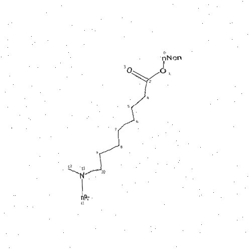 CCCCCCCCCOC(=O)CCCCCCCN(C)CCC